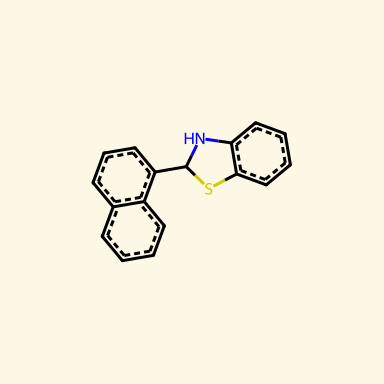 c1ccc2c(c1)NC(c1cccc3ccccc13)S2